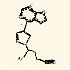 CC(CCC#N)N1CC(c2ncnc3[nH]ccc23)C=N1